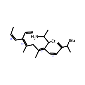 C=CC(/C=C\C)=C(/C)C/C(C)=C(/C=C\C(=C)C(C)C(C)(C)C)C(CC)C(C)N